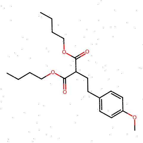 CCCCOC(=O)C(CCc1ccc(OC)cc1)C(=O)OCCCC